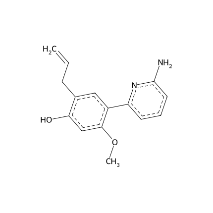 C=CCc1cc(-c2cccc(N)n2)c(OC)cc1O